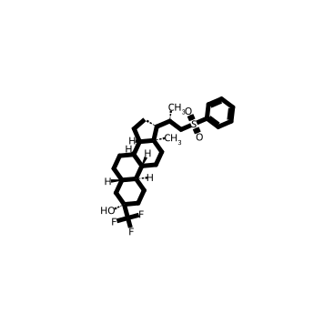 C[C@H](CS(=O)(=O)c1ccccc1)[C@H]1CC[C@H]2[C@@H]3CC[C@H]4C[C@](O)(C(F)(F)F)CC[C@@H]4[C@H]3CC[C@]12C